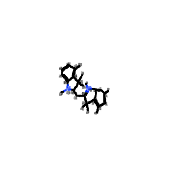 Cc1cc(C)c2c(c1)[N+](C)=C(CC1N(C)c3cccc(C)c3C1(C)C)C2(C)C